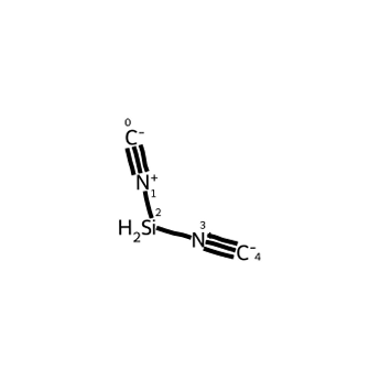 [C-]#[N+][SiH2][N+]#[C-]